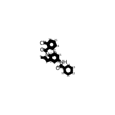 Cc1cc2cc(NC(=O)C3CCCCC3)ccc2n1C(=O)c1c(F)cccc1Cl